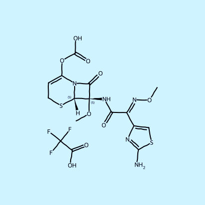 CON=C(C(=O)N[C@]1(OC)C(=O)N2C(OC(=O)O)=CCS[C@H]21)c1csc(N)n1.O=C(O)C(F)(F)F